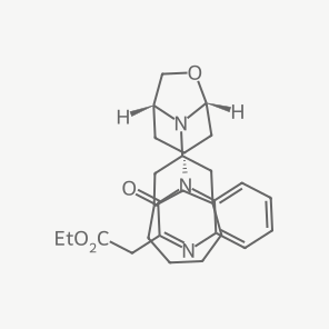 CCOC(=O)Cc1nc2ccccc2n([C@@H]2C[C@@H]3CO[C@H](C2)N3C2CC3CCCCC(C3)C2)c1=O